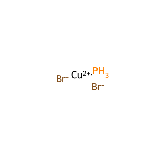 P.[Br-].[Br-].[Cu+2]